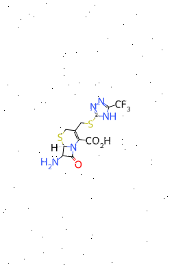 NC1C(=O)N2C(C(=O)O)=C(CSc3nnc(C(F)(F)F)[nH]3)CS[C@H]12